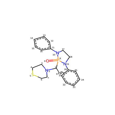 CCCC(N1CCSCC1)P1(=O)N(c2ccccc2)CCN1c1ccccc1